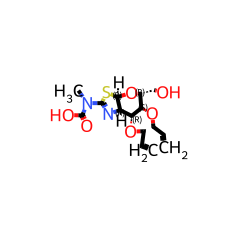 C=CCO[C@@H]1[C@H]2N=C(N(C)C(=O)O)S[C@H]2O[C@H](CO)[C@H]1OCC=C